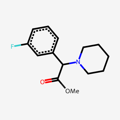 COC(=O)C(c1cccc(F)c1)N1CCCCC1